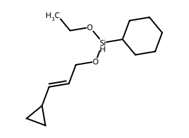 CCO[SiH](OCC=CC1CC1)C1CCCCC1